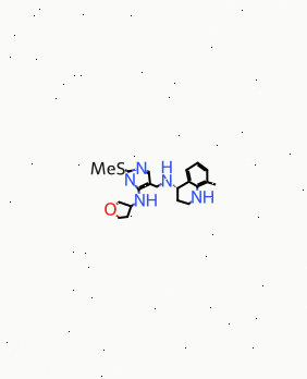 CSc1ncc(CN[C@H]2CCNc3c(C)cccc32)c(NC2CCOC2)n1